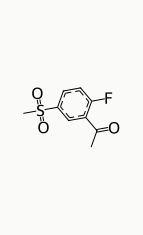 CC(=O)c1cc(S(C)(=O)=O)ccc1F